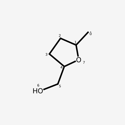 [CH2]C1CCC(CO)O1